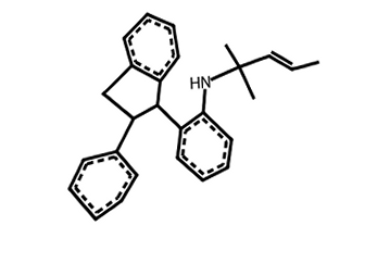 CC=CC(C)(C)Nc1ccccc1C1c2ccccc2CC1c1ccccc1